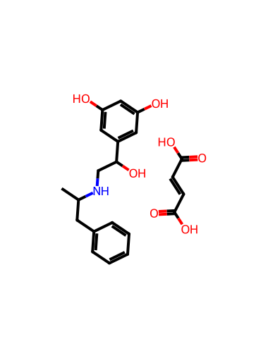 CC(Cc1ccccc1)NCC(O)c1cc(O)cc(O)c1.O=C(O)C=CC(=O)O